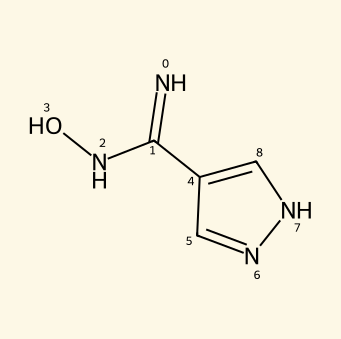 N=C(NO)c1cn[nH]c1